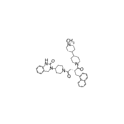 CN1CCC(C2CCN(C(=O)[C@@H](CC(=O)N3CCC(N4Cc5ccccc5NC4=O)CC3)Cc3cccc4ccccc34)CC2)CC1